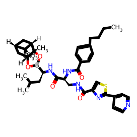 CCCCc1ccc(C(=O)N[C@@H](CNC(=O)c2csc(-c3ccncc3)n2)C(=O)N[C@@H](CC(C)C)B2O[C@@H]3C[C@@H]4C[C@@H](C4(C)C)[C@]3(C)O2)cc1